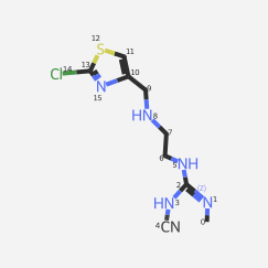 C/N=C(\NC#N)NCCNCc1csc(Cl)n1